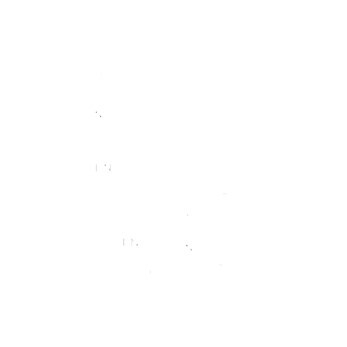 NC(=O)c1nc(-c2c(F)cccc2F)oc1-c1ccc(NCCN2CCOCC2)cc1